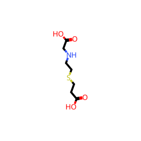 O=C(O)CCSCCNCC(=O)O